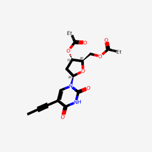 CC#Cc1cn([C@H]2C[C@H](OC(=O)CC)[C@@H](COC(=O)CC)O2)c(=O)[nH]c1=O